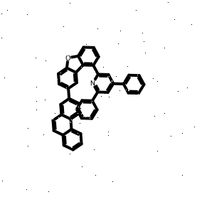 c1ccc(-c2cc(-c3ccccc3)nc(-c3cccc4oc5ccc(-c6ccc7c(ccc8ccccc87)c6)cc5c34)c2)cc1